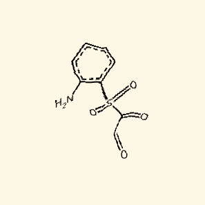 Nc1ccccc1S(=O)(=O)C(=O)C=O